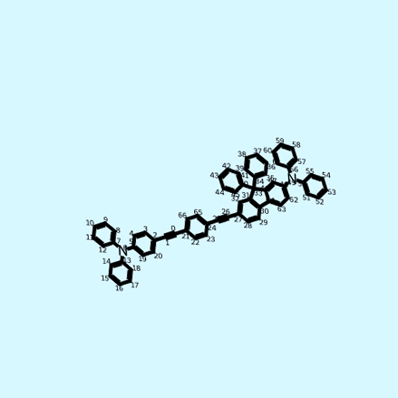 C(#Cc1ccc(N(c2ccccc2)c2ccccc2)cc1)c1ccc(C#Cc2ccc3c(c2)C(c2ccccc2)(c2ccccc2)c2cc(N(c4ccccc4)c4ccccc4)ccc2-3)cc1